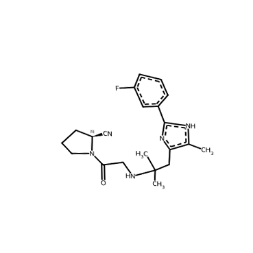 Cc1[nH]c(-c2cccc(F)c2)nc1CC(C)(C)NCC(=O)N1CCC[C@H]1C#N